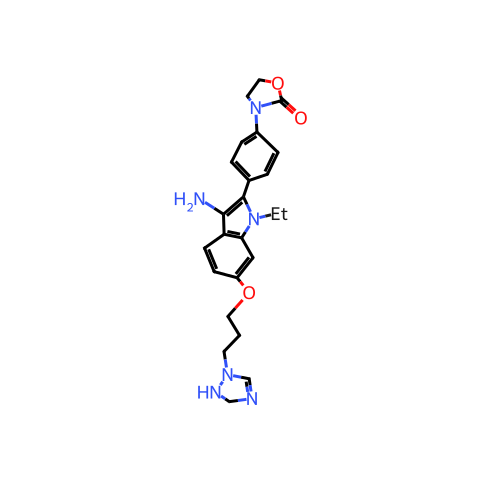 CCn1c(-c2ccc(N3CCOC3=O)cc2)c(N)c2ccc(OCCCN3C=NCN3)cc21